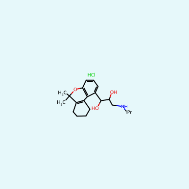 CC(C)NCC(O)C(O)c1cccc2c1C1=C(CCCC1)C(C)(C)O2.Cl